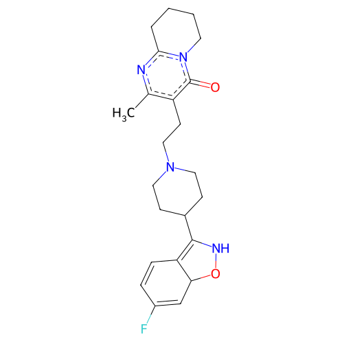 Cc1nc2n(c(=O)c1CCN1CCC(C3=C4C=CC(F)=CC4ON3)CC1)CCCC2